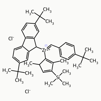 CC1=[C](/[Zr+2](=[CH]\c2ccc(C(C)(C)C)cc2)[CH]2c3cc(C(C)(C)C)ccc3-c3ccc(C(C)(C)C)cc32)C(C)C=C1[Si](C)(C)C.[Cl-].[Cl-]